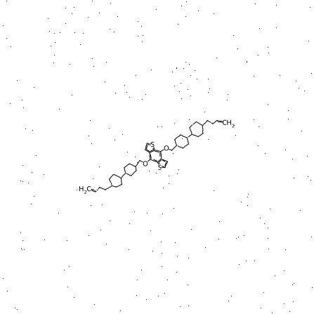 C=CCCC1CCC(C2CCC(COc3c4ccsc4c(OCC4CCC(C5CCC(CCC=C)CC5)CC4)c4ccsc34)CC2)CC1